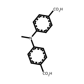 CN(c1ccc(C(=O)O)cc1)c1ccc(C(=O)O)cc1